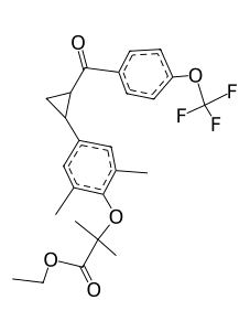 CCOC(=O)C(C)(C)Oc1c(C)cc(C2CC2C(=O)c2ccc(OC(F)(F)F)cc2)cc1C